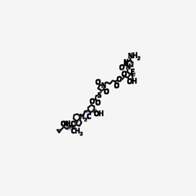 C=C1/C(=C\C=C2/CCC[C@@]3(C)C2CCC3[C@@H](C)/C=C/C(O)C2CC2)CC(OC(=O)CSC2CC(=O)N(CCCC(=O)OCC3OC(n4ccc(N)nc4=O)C(F)(F)C3O)C2=O)C[C@@H]1O